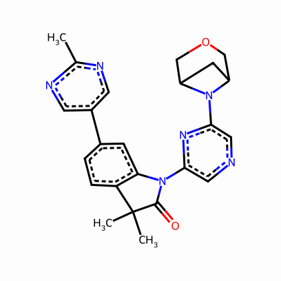 Cc1ncc(-c2ccc3c(c2)N(c2cncc(N4C5COCC4C5)n2)C(=O)C3(C)C)cn1